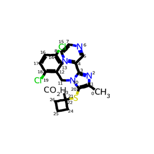 Cc1nc(-c2cnccn2)n(Cc2cc(Cl)ccc2Cl)c1SC1(C(=O)O)CCC1